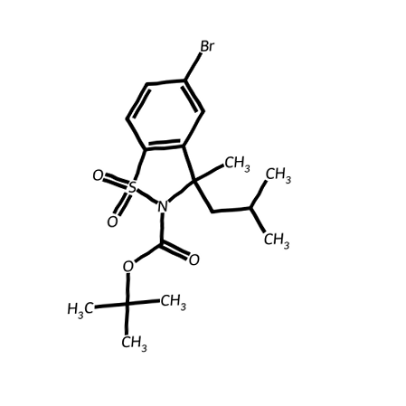 CC(C)CC1(C)c2cc(Br)ccc2S(=O)(=O)N1C(=O)OC(C)(C)C